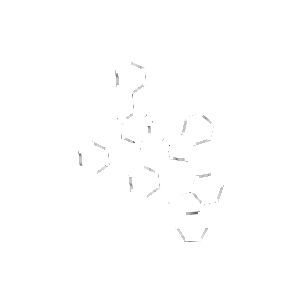 O=P1(c2ccccc2)c2ccccc2-c2c(n(-c3nc(-c4ccccc4)nc(-c4ccccc4)n3)c3ccccc23)-c2ccccc21